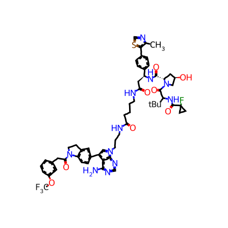 Cc1ncsc1-c1ccc([C@H](CC(=O)NCCCCC(=O)NCCCn2cc(-c3ccc4c(c3)CCN4C(=O)Cc3cccc(OC(F)(F)F)c3)c3c(N)ncnc32)NC(=O)[C@@H]2C[C@@H](O)CN2C(=O)C(NC(=O)C2(F)CC2)C(C)(C)C)cc1